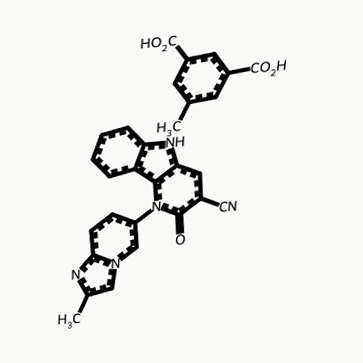 Cc1cc(C(=O)O)cc(C(=O)O)c1.Cc1cn2cc(-n3c(=O)c(C#N)cc4[nH]c5ccccc5c43)ccc2n1